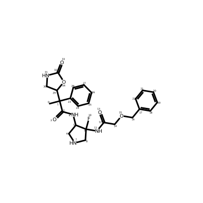 CC(C(=O)NC1CNCC1(F)NC(=O)COCc1ccccc1)(c1ccccc1)C1CNC(=O)O1